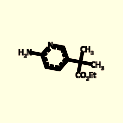 CCOC(=O)C(C)(C)c1ccc(N)nc1